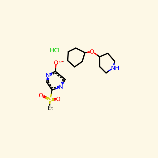 CCS(=O)(=O)c1cnc(O[C@H]2CC[C@H](OC3CCNCC3)CC2)cn1.Cl